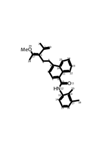 C=C(C)/C(CCc1ccc(C(=O)Nc2cccc(C)c2C)c2ccccc12)=C(/C)OC